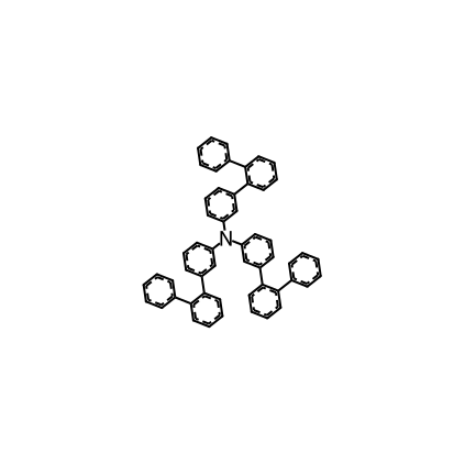 c1ccc(-c2ccccc2-c2cccc(N(c3cccc(-c4ccccc4-c4ccccc4)c3)c3cccc(-c4ccccc4-c4ccccc4)c3)c2)cc1